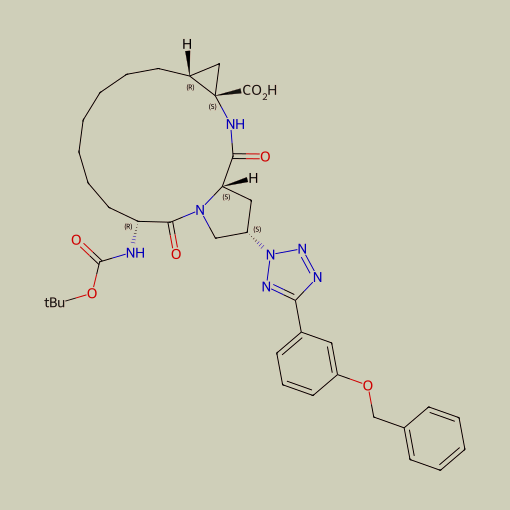 CC(C)(C)OC(=O)N[C@@H]1CCCCCCC[C@@H]2C[C@]2(C(=O)O)NC(=O)[C@@H]2C[C@H](n3nnc(-c4cccc(OCc5ccccc5)c4)n3)CN2C1=O